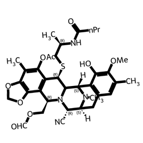 CCCC(=O)N[C@H](C)CS[C@@H]1c2c(OC(C)=O)c(C)c3c(c2[C@H](COC=O)N2C1[C@@H]1c4c(cc(C)c(OC)c4O)C[C@@H]([C@@H]2C#N)N1C)OCO3